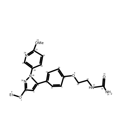 CCOc1cc(-c2ccc(OCCNC(N)=O)cc2)n(-c2ccc(OC)nc2)n1